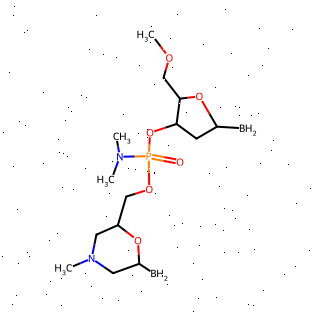 BC1CN(C)CC(COP(=O)(OC2CC(B)OC2COC)N(C)C)O1